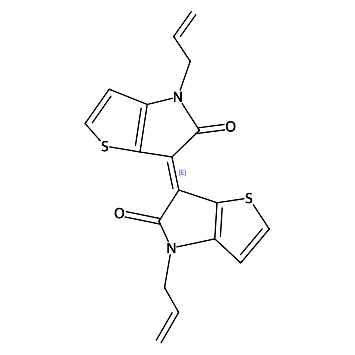 C=CCN1C(=O)/C(=C2/C(=O)N(CC=C)c3ccsc32)c2sccc21